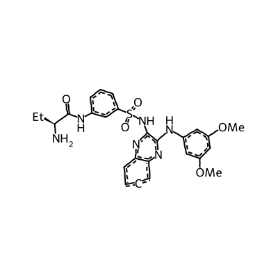 CC[C@H](N)C(=O)Nc1cccc(S(=O)(=O)Nc2nc3ccccc3nc2Nc2cc(OC)cc(OC)c2)c1